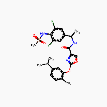 Cc1ccc(C(C)C)cc1Oc1nc(C(=O)NC(C)c2cc(F)c(NS(C)(=O)=O)c(F)c2)co1